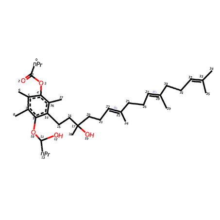 CCCC(=O)Oc1c(C)c(C)c(OC(O)CCC)c(CCC(C)(O)CC/C=C(\C)CC/C=C(\C)CCC=C(C)C)c1C